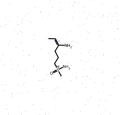 C/C=C(/N)CCC[SH](C)(N)=O